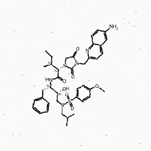 CC[C@H](C)[C@@H](C(=O)N[C@@H](Cc1ccccc1)[C@H](O)CN(CC(C)C)S(=O)(=O)c1ccc(OC)cc1)N1CC(=O)N(Cc2ccc3cc(N)ccc3n2)C1=O